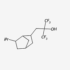 CC(C)C1CC2CC(CC(O)(C(F)(F)F)C(F)(F)F)C1C2